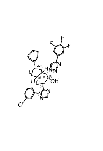 O[C@@H]1[C@@H](n2cc(-c3cc(F)c(F)c(F)c3)nn2)[C@H]2O[C@@H](c3ccccc3)OC[C@H]2O[C@H]1c1ncnn1-c1cccc(Cl)c1